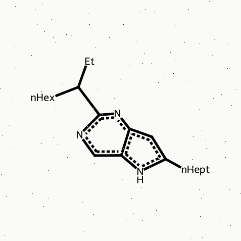 CCCCCCCc1cc2nc(C(CC)CCCCCC)ncc2[nH]1